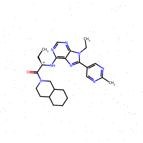 CC[C@@H](Nc1ncnc2c1nc(-c1cnc(C)nc1)n2CC)C(=O)N1CCC2CCCCC2C1